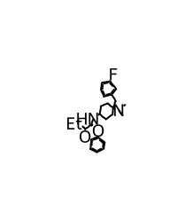 CCC(Oc1ccccc1)C(=O)NC1CCC(Cc2cccc(F)c2)(N(C)C)CC1